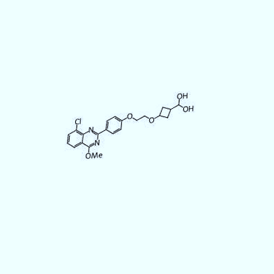 COc1nc(-c2ccc(OCCOC3CC(C(O)O)C3)cc2)nc2c(Cl)cccc12